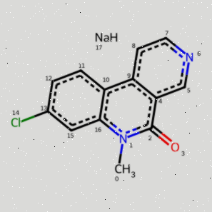 Cn1c(=O)c2cnccc2c2ccc(Cl)cc21.[NaH]